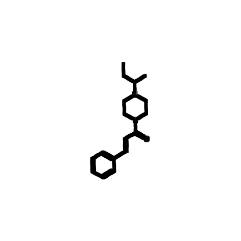 CCC(C)N1CCN(C(=O)C=Cc2ccccc2)CC1